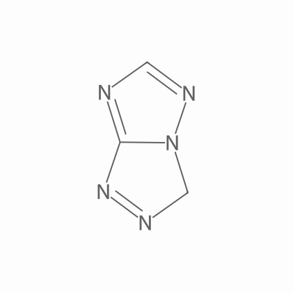 c1nc2n(n1)CN=N2